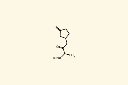 CCCCCC(C)C(=O)OC1CCC(=O)C1